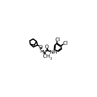 CN(SOC1CC2CCC1C2)C(=O)Nc1ccc(Cl)c(Cl)c1